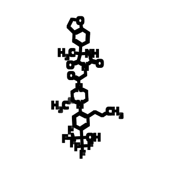 CCCc1cc(C(O)(C(F)(F)F)C(F)(F)F)ccc1N1CCN(C(=O)CN2C(=O)NC(C)(c3ccc4c(c3)CCO4)C2=O)C[C@H]1C